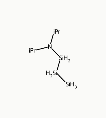 CC(C)N([SiH2][SiH2][SiH3])C(C)C